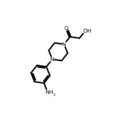 Nc1cccc(N2CCN(C(=O)CO)CC2)c1